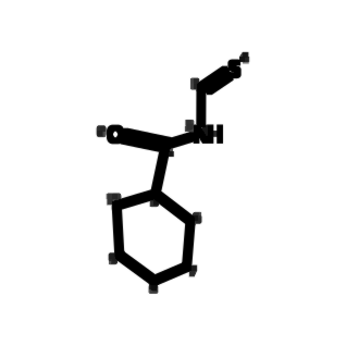 O=C(NC=S)C1CCCCC1